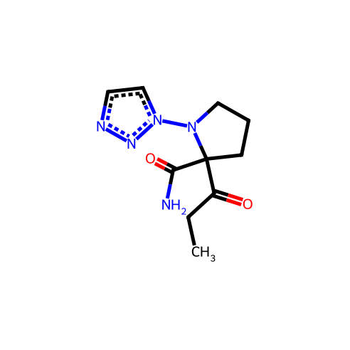 CCC(=O)C1(C(N)=O)CCCN1n1ccnn1